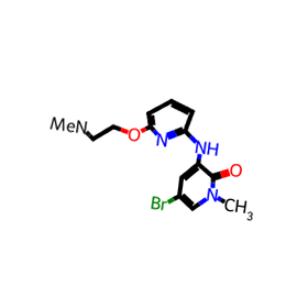 CNCCOc1cccc(Nc2cc(Br)cn(C)c2=O)n1